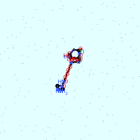 COc1cc2cc(c1Cl)N(C)C(=O)C[C@H](OC(=O)[C@H](C)N(C)C(=O)CCCC(=O)N(C)CCOCCOCCOCCOCCC(=O)NCCC(=O)N1Cc3ccccc3/C(N=N)=C(/N)c3ccccc31)[C@@]1(C)CC(C)(O1)[C@@H]1C[C@@](O)(NC(=O)O1)[C@H](OC)/C=C/C=C(/C)C2